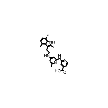 Cc1nc(NCCc2c(C)[nH]c3c(F)ccc(C)c23)cc(Nc2cc(C(=O)O)ccn2)n1